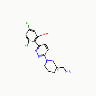 NC[C@H]1CCCN(c2ccc(-c3c(O)cc(Cl)cc3Cl)nn2)C1